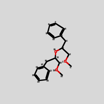 COCC(Cc1ccccc1)OC(COC)Cc1ccccc1